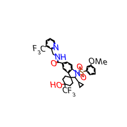 COc1cccc(S(=O)(=O)N2c3ccc(C(=O)NCc4ncccc4C(F)(F)F)cc3C3(CCC(O)(C(F)(F)F)CC3)C2C2CC2)c1